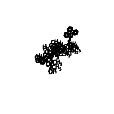 COc1ccc(CO[C@H]([C@@H](C)[C@@H](CC[C@H](C)C[C@@H](C)[C@@H](O[Si](C)(C)C(C)(C)C)[C@@H](C)C=C[C@H](C[C@H](O[Si](C)(C)C(C)(C)C)[C@@H](C)C=CCOC(c2ccccc2)(c2ccccc2)c2ccccc2)O[Si](C)(C)C(C)(C)C)O[Si](C)(C)C(C)(C)C)[C@@H](C)CO)cc1